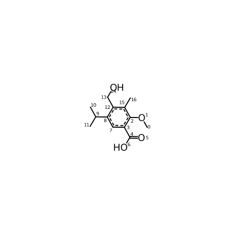 COc1c(C(=O)O)cc(C(C)C)c(CO)c1C